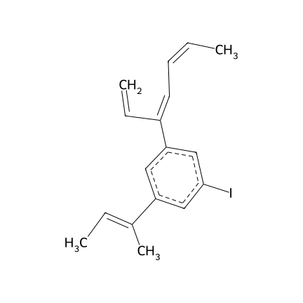 C=C/C(=C\C=C/C)c1cc(I)cc(/C(C)=C/C)c1